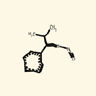 CC(C)/C(=B\N=O)c1ccccc1